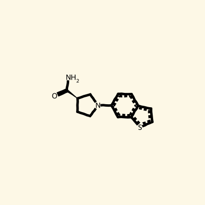 NC(=O)[C@@H]1CCN(c2ccc3ccsc3c2)C1